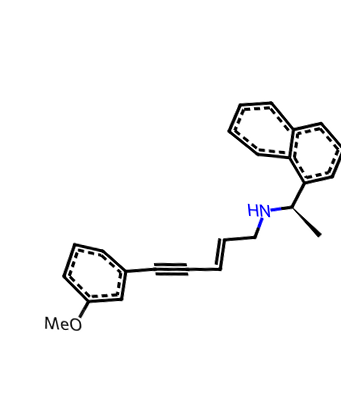 COc1cccc(C#C/C=C/CN[C@H](C)c2cccc3ccccc23)c1